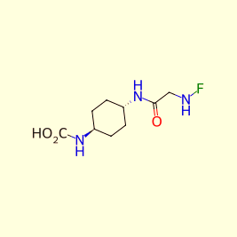 O=C(O)N[C@H]1CC[C@H](NC(=O)CNF)CC1